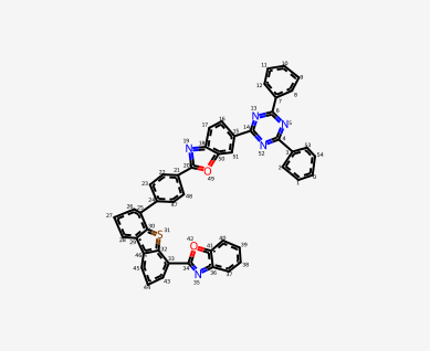 c1ccc(-c2nc(-c3ccccc3)nc(-c3ccc4nc(-c5ccc(-c6cccc7c6sc6c(-c8nc9ccccc9o8)cccc67)cc5)oc4c3)n2)cc1